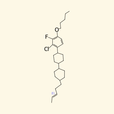 C/C=C/CCC1CCC(C2CCC(c3ccc(OCCCCC)c(F)c3Cl)CC2)CC1